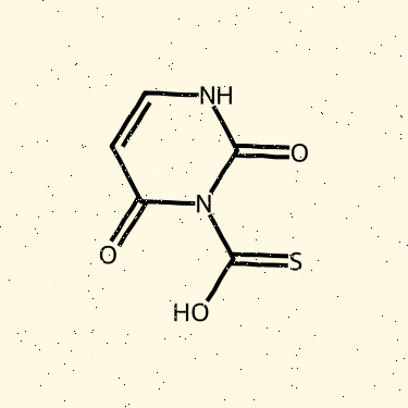 O=c1cc[nH]c(=O)n1C(O)=S